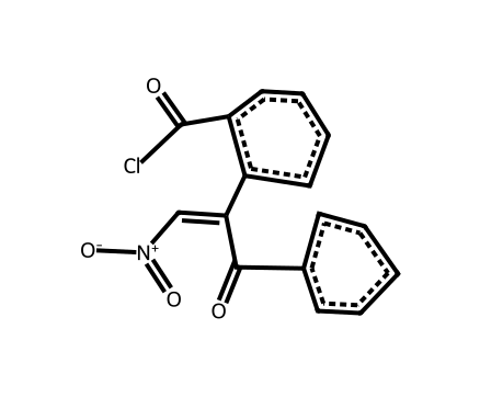 O=C(C(=C[N+](=O)[O-])c1ccccc1C(=O)Cl)c1ccccc1